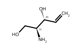 C=C[C@@H](O)[C@@H](N)CO